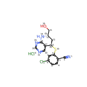 Cl.N#Cc1ccc(Cl)cc1S[C@H](C[C@H](N)CO)c1cncnc1